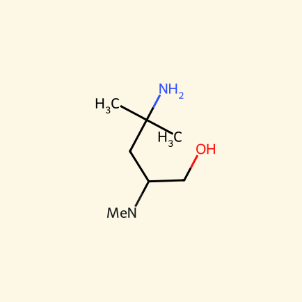 CNC(CO)CC(C)(C)N